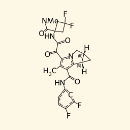 CNC(=O)C1(NC(=O)C(=O)c2c(C)c(C(=O)Nc3ccc(F)c(F)c3)c3n2C[C@@H]2C[C@H]32)CC(F)(F)C1